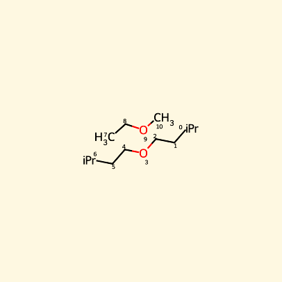 CC(C)CCOCCC(C)C.CCOC